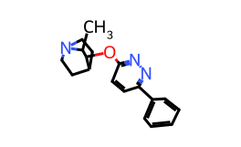 CC1C(Oc2ccc(-c3ccccc3)nn2)C2CCN1CC2